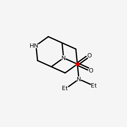 CCN(CC)C(=O)N1C2CNCC1CC(=O)C2